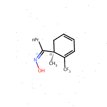 CCC/C(=N/O)[C@@]1(C)CC=CC=C1C(F)(F)F